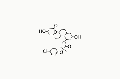 CC1C=CC2=CC(O)CC(OC(=O)C(C)(C)Oc3ccc(Cl)cc3)C2C1CC[C@@H]1C[C@@H](O)CC(=O)O1